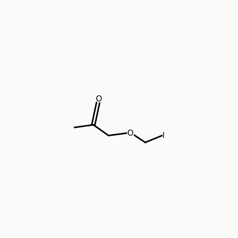 CC(=O)COCI